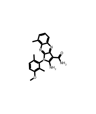 COc1ccc(C)c(-n2c(N)c(C(N)=O)c3nc4cccc(C)c4nc32)c1C